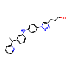 CC(c1cccc(Nc2ccc(-n3cc(CCCO)nn3)cc2)c1)c1ccccn1